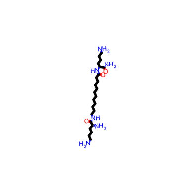 NCCCCC(N)C(=O)NCCCCCCCCCCCC(=O)NC(CCCCN)C(N)=O